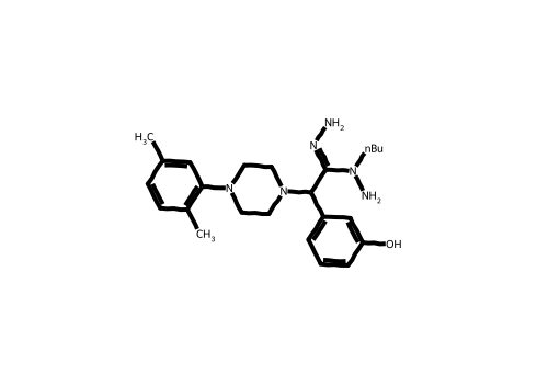 CCCCN(N)/C(=N\N)C(c1cccc(O)c1)N1CCN(c2cc(C)ccc2C)CC1